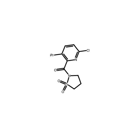 CC(C)c1ccc(Cl)nc1C(=O)N1CCCS1(=O)=O